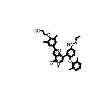 CCSNc1ccc(Oc2c(C)cccc2C)c(-c2cn(C)c(=O)c3cc(-c4cc(C)c(OCCO)c(C)c4)oc23)c1